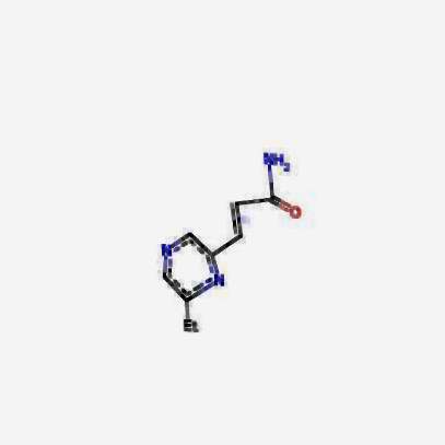 CCc1cncc(/C=C/C(N)=O)n1